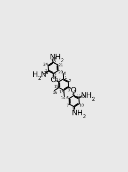 Cc1cc(Oc2ccc(N)cc2N)c(C)c(C)c1Oc1ccc(N)cc1N